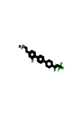 CCCc1ccc(-c2ccc(C3CCC(/C(F)=C/C(F)(F)F)CC3)cc2)c(F)c1